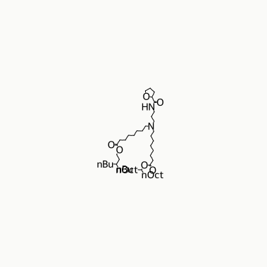 CCCCCCCCC(CCCCCCCC)OC(=O)CCCCCCCN(CCCCCCCC(=O)OCCC(CCCC)CCCC)CCCNC(=O)C1CCCO1